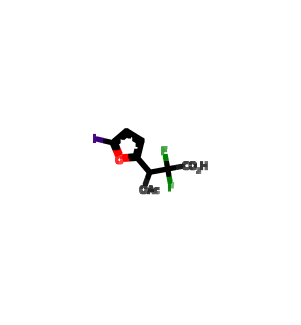 CC(=O)OC(c1ccc(I)o1)C(F)(F)C(=O)O